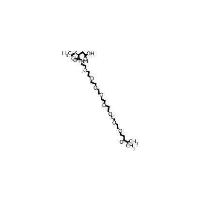 CC(C)SC(CC(=O)O)C(=O)NCCOCCOCCOCCOCCOCCOCCOCCOCCC(=O)C(C)C